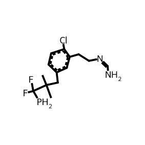 CC(C)(Cc1ccc(Cl)c(CC/N=C\N)c1)C(F)(F)P